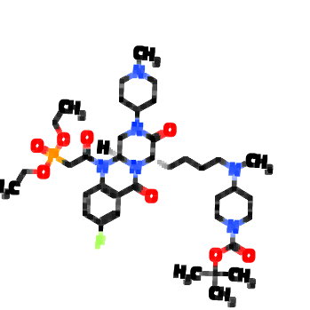 CCOP(=O)(CC(=O)N1c2ccc(F)cc2C(=O)N2[C@@H]1CN(C1CCN(C)CC1)C(=O)[C@@H]2CCCCN(C)C1CCN(C(=O)OC(C)(C)C)CC1)OCC